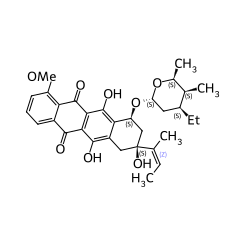 C/C=C(/C)[C@]1(O)Cc2c(O)c3c(c(O)c2[C@@H](O[C@H]2C[C@H](CC)[C@H](C)[C@H](C)O2)C1)C(=O)c1c(OC)cccc1C3=O